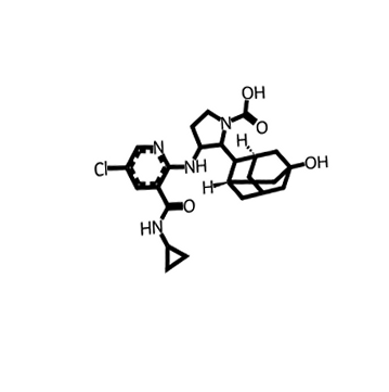 O=C(NC1CC1)c1cc(Cl)cnc1NC1CCN(C(=O)O)C1C1[C@@H]2CC3C[C@H]1CC(O)(C3)C2